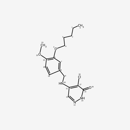 CCCCCOc1cc(CNc2cn[nH]c(=O)c2Cl)ccc1OC